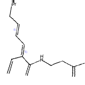 C=C/C(=C\C=C\CC(C)C)C(=C)NCCC(=C)C